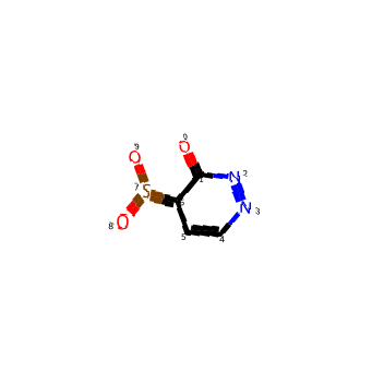 O=C1N=NC=CC1=S(=O)=O